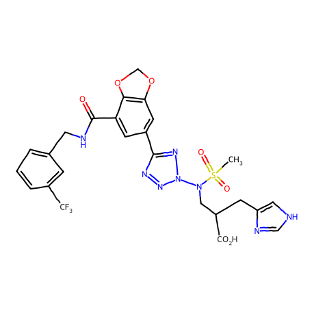 CS(=O)(=O)N(CC(Cc1c[nH]cn1)C(=O)O)n1nnc(-c2cc3c(c(C(=O)NCc4cccc(C(F)(F)F)c4)c2)OCO3)n1